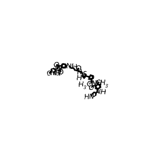 Cc1ccc(NC2CCNCC2)cc1C(=O)N[C@H](C)c1cccc(-c2ccc(CNC(=O)CCCNc3ccc4c(c3)C(=O)N(C3CCC(=O)NC3=O)C4=O)s2)c1